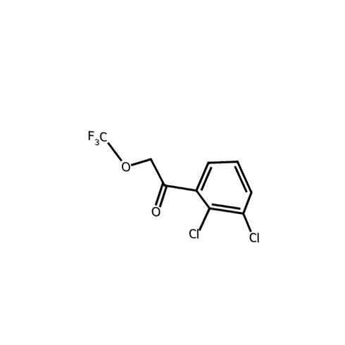 O=C(COC(F)(F)F)c1cccc(Cl)c1Cl